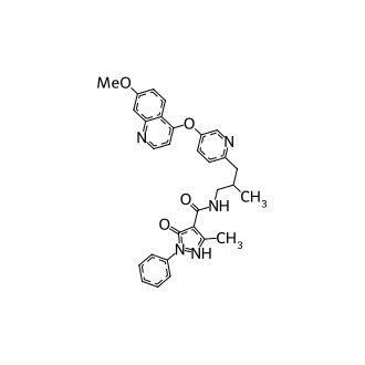 COc1ccc2c(Oc3ccc(CC(C)CNC(=O)c4c(C)[nH]n(-c5ccccc5)c4=O)nc3)ccnc2c1